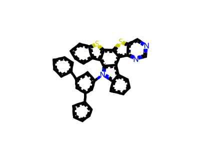 c1ccc(-c2cc(-c3ccccc3)cc(-n3c4ccccc4c4c5c6ncncc6sc5c5sc6ccccc6c5c43)c2)cc1